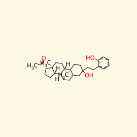 CC(=O)[C@H]1CC[C@H]2[C@@H]3CCC4CC(O)(CCc5ccccc5O)CC[C@]4(C)[C@H]3CC[C@]12C